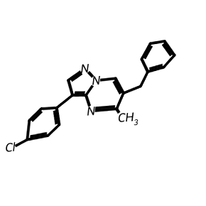 Cc1nc2c(-c3ccc(Cl)cc3)cnn2cc1Cc1ccccc1